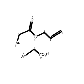 C=CCOC(=O)CC(C)=O.CC(=O)CC(=O)O